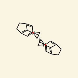 c1c(CCc2cc3c(N4CC4)c(c2)CC3)cc2c(N3CC3)c1CC2